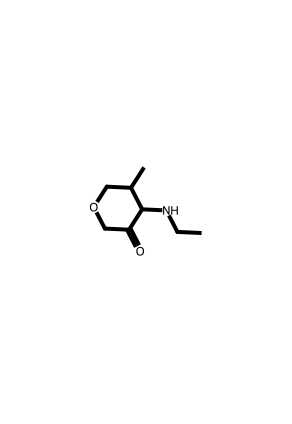 CCNC1C(=O)COCC1C